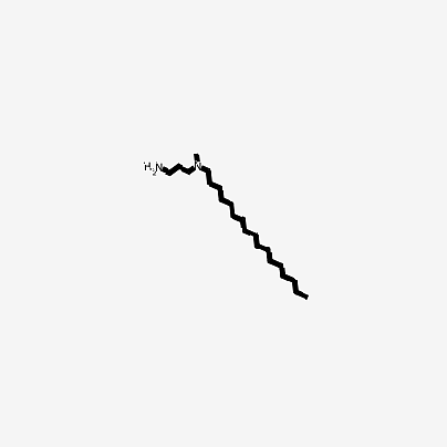 CCCCCCCCCCCCCCCCCN(C)CCCN